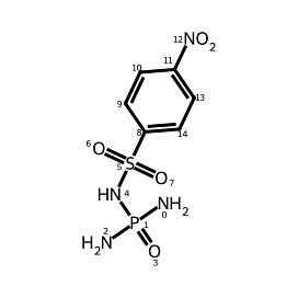 NP(N)(=O)NS(=O)(=O)c1ccc([N+](=O)[O-])cc1